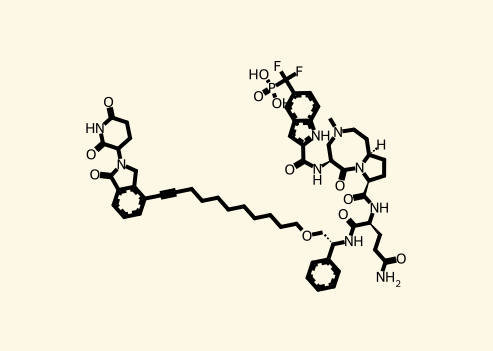 CN1CC[C@H]2CC[C@@H](C(=O)N[C@@H](CCC(N)=O)C(=O)N[C@@H](COCCCCCCCCCC#Cc3cccc4c3CN(C3CCC(=O)NC3=O)C4=O)c3ccccc3)N2C(=O)[C@@H](NC(=O)c2cc3cc(C(F)(F)P(=O)(O)O)ccc3[nH]2)C1